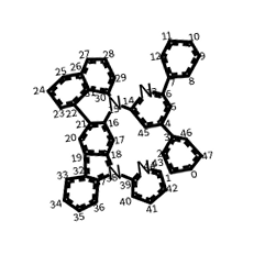 c1ccc(-c2cc(-c3ccccc3)nc(N3c4cc5c(cc4-c4cccc6cccc3c46)c3ccccc3n5-c3ccccn3)c2)cc1